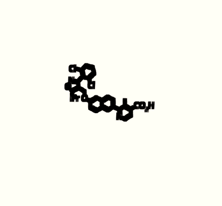 Cc1c(C(=O)O)ccnc1-c1ccc2cc(OCc3c(-c4c(Cl)cccc4Cl)noc3C(C)C)ccc2c1